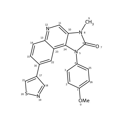 COc1ccc(-n2c(=O)n(C)c3cnc4ccc(-c5cnsc5)cc4c32)cc1